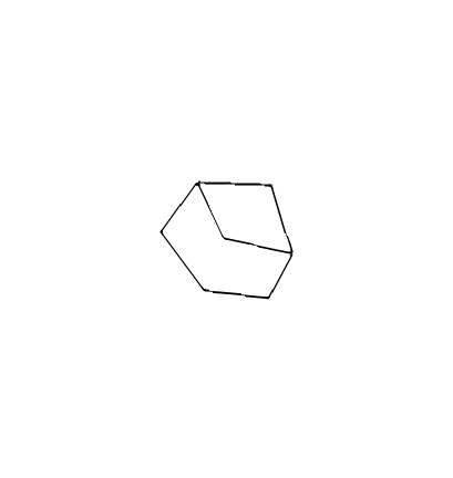 [C]1CC2[CH]C(C1)C2